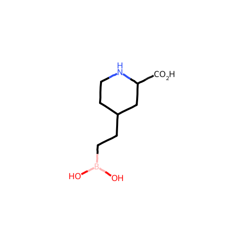 O=C(O)C1CC(CCB(O)O)CCN1